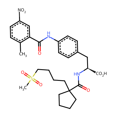 Cc1ccc([N+](=O)[O-])cc1C(=O)Nc1ccc(C[C@H](NC(=O)C2(CCCCS(C)(=O)=O)CCCC2)C(=O)O)cc1